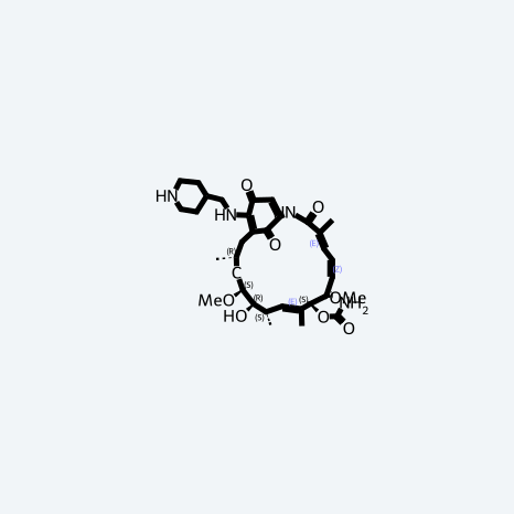 CO[C@H]1/C=C\C=C(/C)C(=O)NC2=CC(=O)C(NCC3CCNCC3)=C(C[C@@H](C)C[C@H](OC)[C@H](O)[C@@H](C)/C=C(\C)[C@@H]1OC(N)=O)C2=O